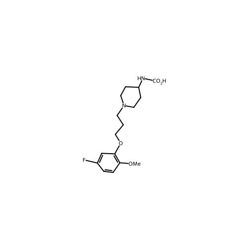 COc1ccc(F)cc1OCCCN1CCC(NC(=O)O)CC1